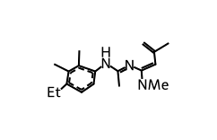 C=C(C)/C=C(\N=C(/C)Nc1ccc(CC)c(C)c1C)NC